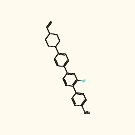 C=CC1CCC(c2ccc(-c3ccc(-c4ccc(CCCC)cc4)c(F)c3)cc2)CC1